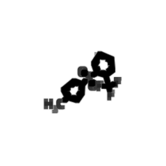 Cc1ccc(S(=O)(=O)c2c[c]ccc2C(F)(F)F)cc1